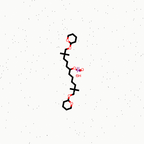 CC(C)(CCCCC(CCCC(C)(C)COC1CCCCO1)O[PH](=O)O)COC1CCCCO1